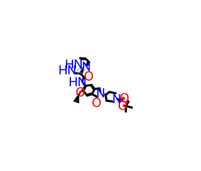 CC(C)(C)OC(=O)N1CCC(N2Cc3cc(NC(=O)/C(C=N)=C4\N=CC=CN4)c(OC4CC4)cc3C2=O)CC1